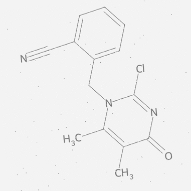 Cc1c(C)n(Cc2ccccc2C#N)c(Cl)nc1=O